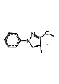 COC1=NN(c2ccccc2)CC1(C)C